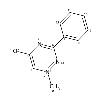 C[n+]1cc([O-])nc(-c2ccccc2)n1